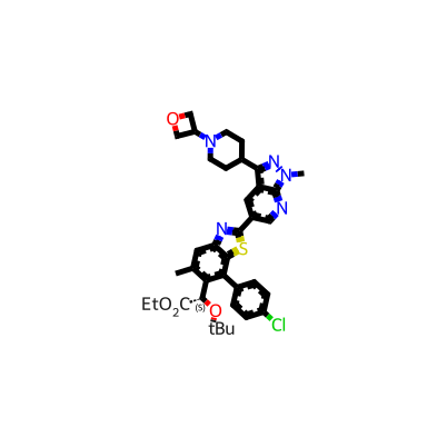 CCOC(=O)[C@@H](OC(C)(C)C)c1c(C)cc2nc(-c3cnc4c(c3)c(C3CCN(C5COC5)CC3)nn4C)sc2c1-c1ccc(Cl)cc1